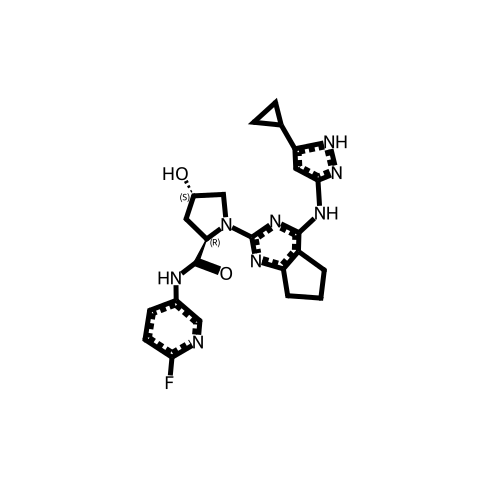 O=C(Nc1ccc(F)nc1)[C@H]1C[C@H](O)CN1c1nc2c(c(Nc3cc(C4CC4)[nH]n3)n1)CCC2